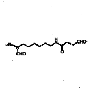 [CH2]CCCN(C=O)CCCCCCNC(=O)CC[C]=O